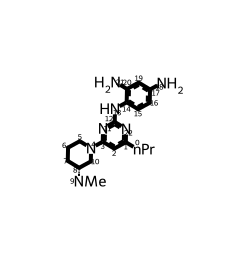 CCCc1cc(N2CCC[C@@H](NC)C2)nc(Nc2ccc(N)cc2N)n1